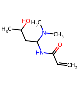 C=CC(=O)NC(CC(C)O)N(C)C